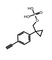 C#Cc1ccc(C2(COP(=O)(O)O)CC2)cc1